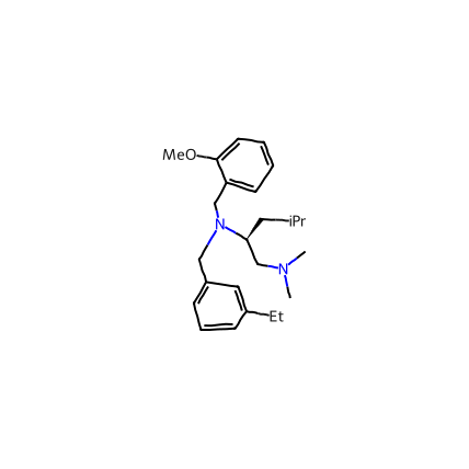 CCc1cccc(CN(Cc2ccccc2OC)[C@@H](CC(C)C)CN(C)C)c1